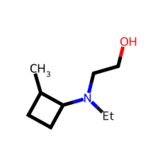 CCN(CCO)C1CCC1C